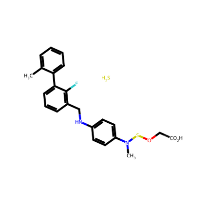 Cc1ccccc1-c1cccc(CNc2ccc(N(C)SOCC(=O)O)cc2)c1F.S